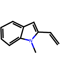 C=Cc1cc2ccccc2n1C